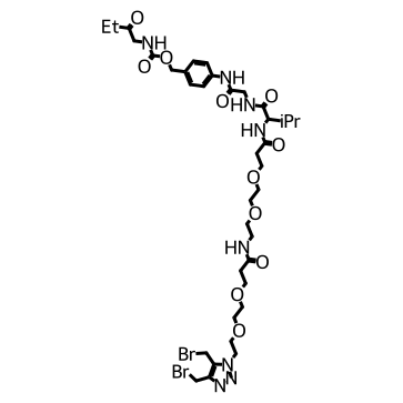 CCC(=O)CNC(=O)OCc1ccc(NC(=O)CNC(=O)C(NC(=O)CCOCCOCCNC(=O)CCOCCOCCn2nnc(CBr)c2CBr)C(C)C)cc1